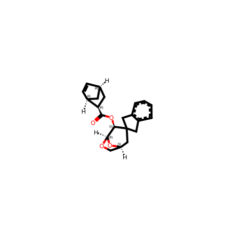 O=C(O[C@@H]1[C@@H]2OC[C@H](CC13Cc1ccccc1C3)O2)[C@@H]1C[C@@H]2C=C[C@H]1C2